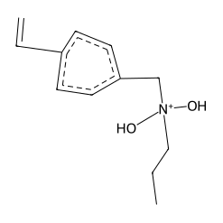 C=Cc1ccc(C[N+](O)(O)CCC)cc1